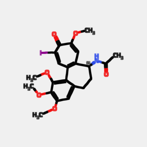 COc1cc2c(c(OC)c1OC)-c1cc(I)c(=O)c(OC)cc1[C@@H](NC(C)=O)CC2